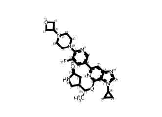 C[C@@H](Oc1nc(-c2cnc(N3CCN(C4COC4)CC3)c(F)c2)cc2ncn(C3CC3)c12)C1CNC(=O)C1